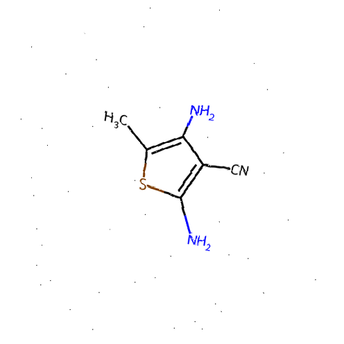 Cc1sc(N)c(C#N)c1N